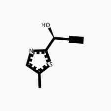 C#C[C@H](O)c1ncc(C)s1